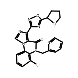 O=c1c2c(-c3noc(C4CCCO4)n3)ncn2c2cccc(Cl)c2n1Cc1ccccn1